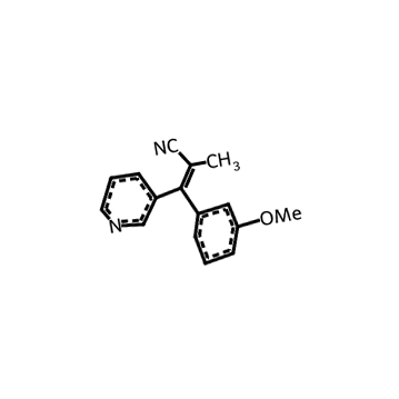 COc1cccc(C(=C(C)C#N)c2cccnc2)c1